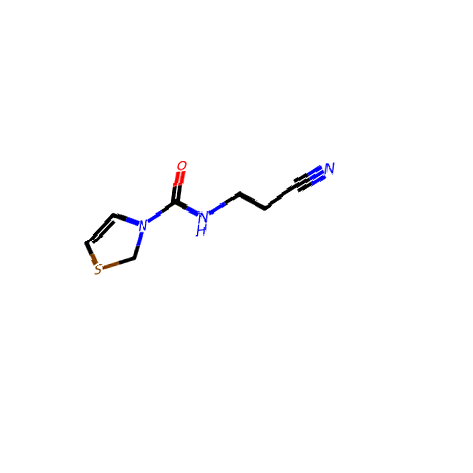 N#CCCNC(=O)N1C=CSC1